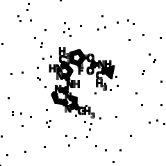 Cc1cn2c(NC3=NNC(C)([C@@H]4CC[C@H](OC(=O)NC5(C)CC5)[C@H]4F)C3)nccc2n1